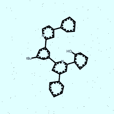 CC(C)(C)c1cc(-c2cc(-c3ccccc3)ccn2)cc(-c2cc(-c3ccccc3)cc(-c3ccccc3O)n2)c1